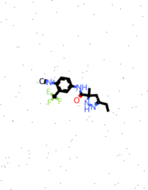 [C-]#[N+]c1ccc(NC(=O)C2(C)CC(CC)=NN2)cc1C(F)(F)F